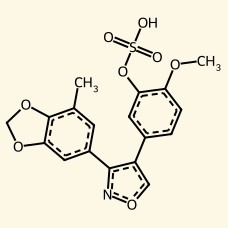 COc1ccc(-c2conc2-c2cc(C)c3c(c2)OCO3)cc1OS(=O)(=O)O